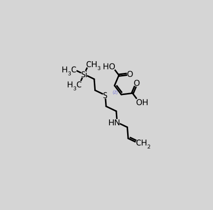 C=CCNCCSCC[Si](C)(C)C.O=C(O)/C=C\C(=O)O